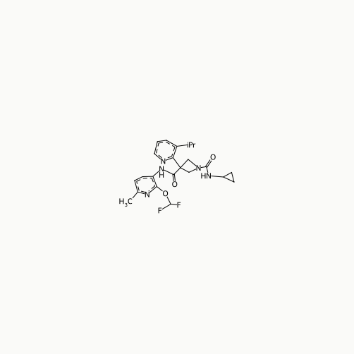 Cc1ccc(NC(=O)C2(c3ncccc3C(C)C)CN(C(=O)NC3CC3)C2)c(OC(F)F)n1